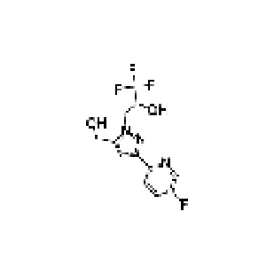 OCc1cc(-c2ccc(F)cn2)nn1CC(O)C(F)(F)F